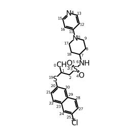 CC(CS(=O)(=O)NC1CCN(c2ccncc2)CC1)Sc1ccc2cc(Cl)ccc2c1